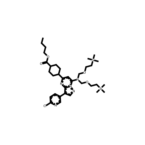 CCCCOC(=O)C1CCC(c2cc(N(COCC[Si](C)(C)C)COCC[Si](C)(C)C)n3ncc(-c4ccc(Cl)nc4)c3n2)CC1